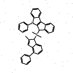 CC1=Cc2c(-c3ccccc3)cccc2C1S(C)(C)C1c2ccccc2-c2c1n(-c1ccccc1)c1ccccc21